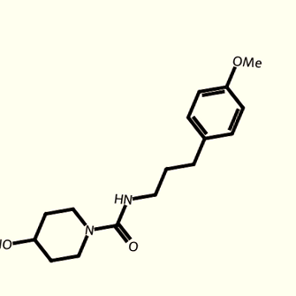 COc1ccc(CCCNC(=O)N2CCC(O)CC2)cc1